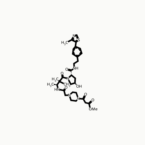 COC(=O)CC(=O)N1CCN(CC(=O)N[C@@H](C)C(C)(C)C(=O)N2C[C@H](O)C[C@H]2C(=O)NCCc2ccc(-c3scnc3C)cc2)CC1